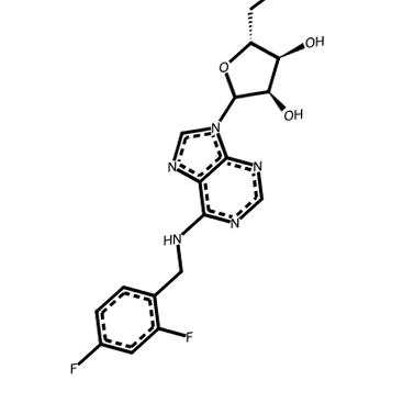 OC[C@H]1OC(n2cnc3c(NCc4ccc(F)cc4F)ncnc32)[C@H](O)[C@@H]1O